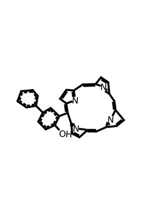 Oc1ccc(-c2ccccc2)cc1C1=C2C=CC(=N2)C=C2C=CC(=N2)C=C2C=CC(=N2)C=C2C=CC1=N2